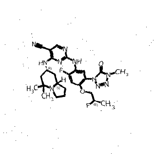 C[C@@H](F)COc1cc(F)c(Nc2ncc(C#N)c(N[C@@H]3C[C@@H]4CCCN4C(C)(C)C3)n2)cc1-n1nnn(C)c1=O